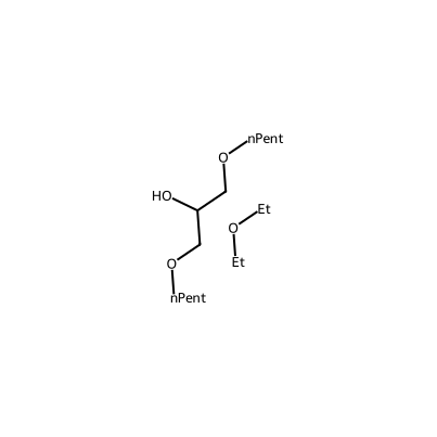 CCCCCOCC(O)COCCCCC.CCOCC